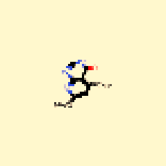 COc1cc(OC)c2c(=O)[nH]cnc2n1